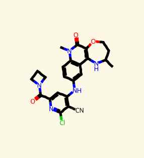 CC1CCOc2c(c3cc(Nc4cc(C(=O)N5CCC5)nc(Cl)c4C#N)ccc3n(C)c2=O)N1